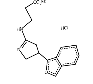 CCOC(=O)CCNC1=NCC(c2occ3ccccc23)C1.Cl